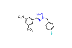 O=[N+]([O-])c1cc(-c2nnn(Cc3ccc(F)cc3)n2)cc([N+](=O)[O-])c1